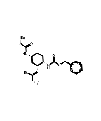 CCOC(=O)C(=C[C@@H]1C[C@H](NC(=O)OC(C)(C)C)CC[C@@H]1NC(=O)OCc1ccccc1)CC